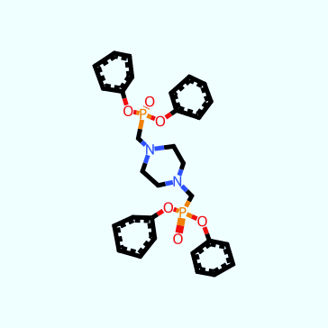 O=P(CN1CCN(CP(=O)(Oc2ccccc2)Oc2ccccc2)CC1)(Oc1ccccc1)Oc1ccccc1